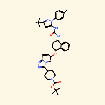 Cc1ccc(-n2nc(C(C)(C)C)cc2NC(=O)N[C@H]2CC[C@@H](Oc3ccc4nnc(C5CCN(C(=O)OC(C)(C)C)CC5)n4c3)c3ccccc32)cc1